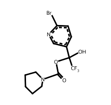 O=C(OC(O)(c1ccc(Br)nc1)C(F)(F)F)N1CCCCC1